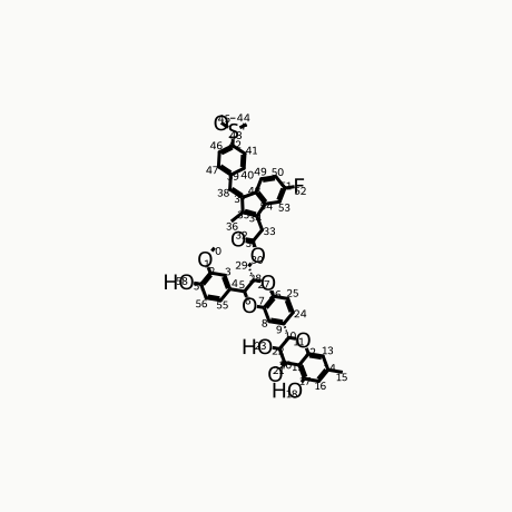 COc1cc(C2Oc3cc([C@@H]4Oc5cc(C)cc(O)c5C(=O)C4O)ccc3O[C@H]2COC(=O)CC2=C(C)/C(=C/c3ccc([S+](C)[O-])cc3)c3ccc(F)cc32)ccc1O